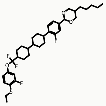 CCCCCC1COC(c2ccc(C3CCC(C4CCC(C(F)(F)Oc5ccc(SCC)c(F)c5)CC4)CC3)c(F)c2)OC1